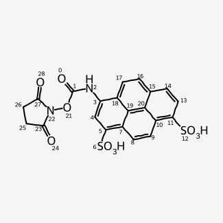 O=C(Nc1cc(S(=O)(=O)O)c2ccc3c(S(=O)(=O)O)ccc4ccc1c2c43)ON1C(=O)CCC1=O